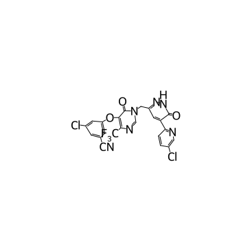 N#Cc1cc(Cl)cc(Oc2c(C(F)(F)F)ncn(Cc3cc(-c4ccc(Cl)cn4)c(=O)[nH]n3)c2=O)c1